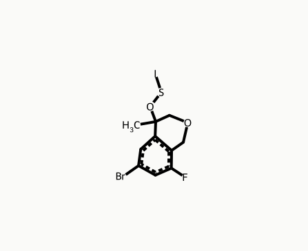 CC1(OSI)COCc2c(F)cc(Br)cc21